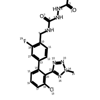 CCC(=O)NNC(=O)NCc1ccc(-c2cccc(Cl)c2-c2nnn(C)n2)cc1F